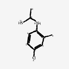 Cc1cc(Cl)ccc1NC(C)S